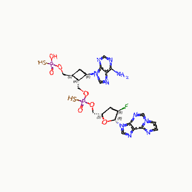 Nc1ncnc2c1ncn2[C@@H]1C[C@H](COP(=O)(O)S)[C@H]1COP(=O)(S)OC[C@@H]1C[C@@H](F)[C@H](n2cnc3c2ncn2ccnc32)O1